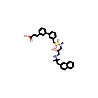 CN(C[C@H](O)CNC(C)(C)Cc1ccc2ccccc2c1)S(=O)(=O)Cc1cccc(-c2cccc(C=CC(=O)O)c2)c1